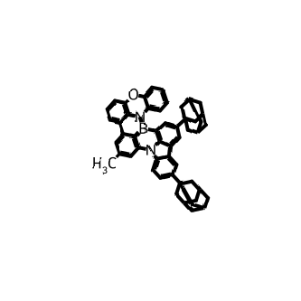 Cc1cc2c3c(c1)-n1c4ccc(C56CC7CC(CC(C7)C5)C6)cc4c4cc(C56CC7CC(CC(C7)C5)C6)cc(c41)B3N1c3ccccc3Oc3cccc-2c31